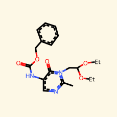 CCOC(Cn1c(C)ncc(NC(=O)OCc2ccccc2)c1=O)OCC